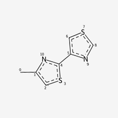 Cc1[c]sc(-c2cscn2)n1